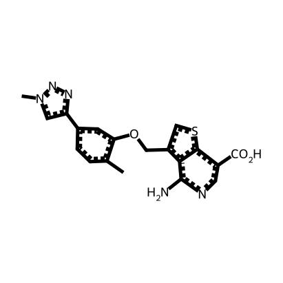 Cc1ccc(-c2cn(C)nn2)cc1OCc1csc2c(C(=O)O)cnc(N)c12